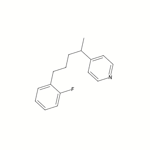 CC(CCCc1ccccc1F)c1ccncc1